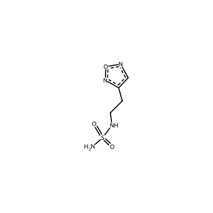 NS(=O)(=O)NCCc1cnon1